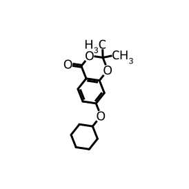 CC1(C)OC(=O)c2ccc(OC3CCCCC3)cc2O1